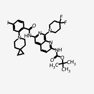 CC(C)(C)OC(=O)Nc1ccc2cc(NC(=O)c3ccc(I)cc3N3CCC4(CC3)CC4)nc(N3CCC(F)(F)CC3)c2n1